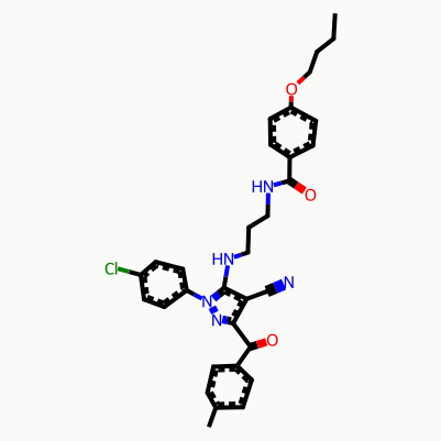 CCCCOc1ccc(C(=O)NCCCNc2c(C#N)c(C(=O)c3ccc(C)cc3)nn2-c2ccc(Cl)cc2)cc1